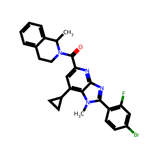 CC1c2ccccc2CCN1C(=O)c1cc(C2CC2)c2c(n1)nc(-c1ccc(Br)cc1F)n2C